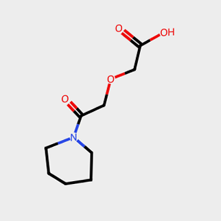 O=C(O)COCC(=O)N1CCCCC1